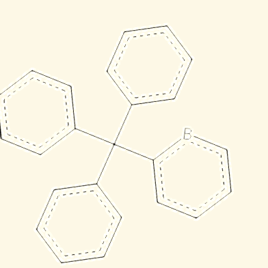 b1ccccc1C(c1ccccc1)(c1ccccc1)c1ccccc1